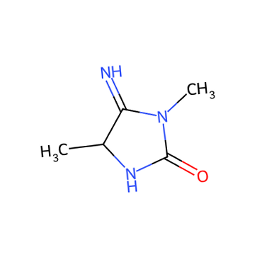 CC1NC(=O)N(C)C1=N